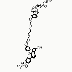 CC(C)(C)OC(=O)CC[C@@H](C(N)=O)N1Cc2ccc(OCCOCCOCCOCCOc3ccc(Oc4c(-c5ccc(S(C)(=O)=O)cc5)ccc5cc(O)ccc45)cc3)cc2C1=O